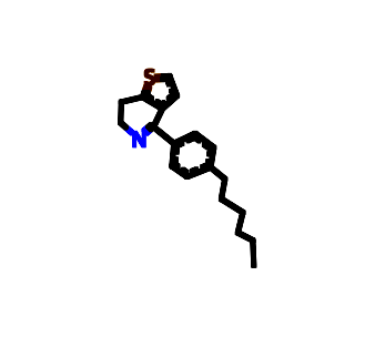 CCCCCCc1ccc(C2=NCCc3sccc32)cc1